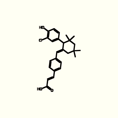 CC1(C)CC(=Cc2ccc(/C=C/C(=O)O)cc2)C(c2ccc(O)c(Cl)c2)C(C)(C)C1